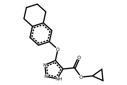 O=C(OC1CC1)c1[nH]nnc1Oc1ccc2c(c1)CCCC2